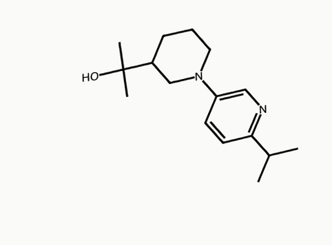 CC(C)c1ccc(N2CCCC(C(C)(C)O)C2)cn1